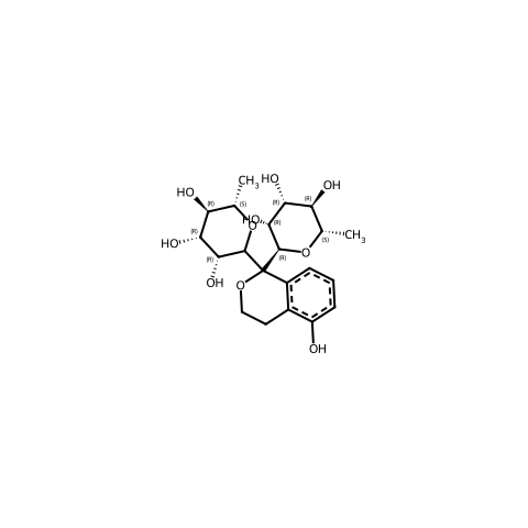 C[C@@H]1O[C@@H](C2(C3O[C@@H](C)[C@H](O)[C@@H](O)[C@H]3O)OCCc3c(O)cccc32)[C@H](O)[C@H](O)[C@H]1O